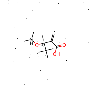 C=C(C(=O)O)[C@](C)(O[SiH](C)C)C(C)(C)C